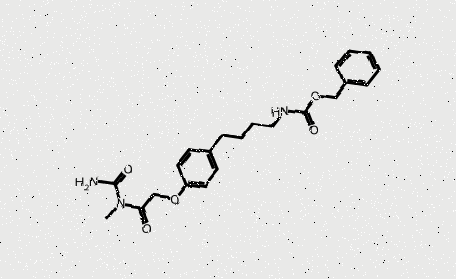 CN(C(N)=O)C(=O)COc1ccc(CCCCNC(=O)OCc2ccccc2)cc1